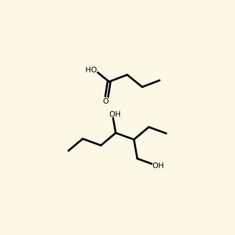 CCCC(=O)O.CCCC(O)C(CC)CO